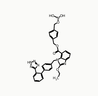 CCOc1nc2cccc(C(=O)OCc3ccc(CON(O)O)cc3)c2n1Cc1ccc(-c2ccccc2-c2nn[nH]n2)cc1